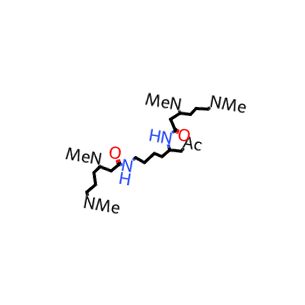 CNCCCC(CC(=O)NCCCCC(CC(C)=O)NC(=O)CC(CCCNC)NC)NC